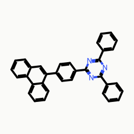 c1ccc(-c2nc(-c3ccccc3)nc(-c3ccc(-c4cc5ccccc5c5ccccc45)cc3)n2)cc1